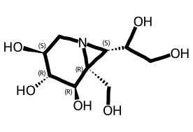 OCC(O)[C@H]1N2C[C@H](O)[C@@H](O)[C@H](O)[C@]12CO